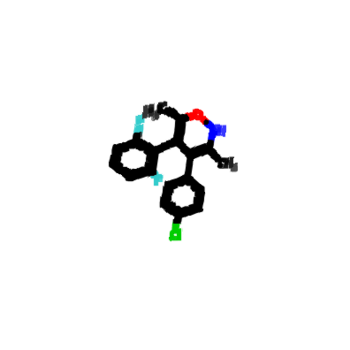 CC1=C(c2ccc(Cl)cc2)C(c2c(F)cccc2F)=C(C)ON1